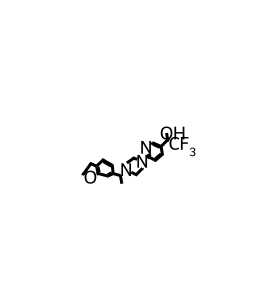 CC(c1ccc2c(c1)OCC2)N1CCN(c2ccc(C(O)C(F)(F)F)cn2)CC1